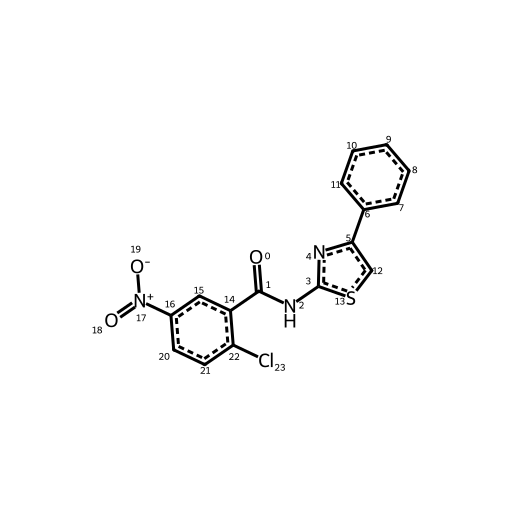 O=C(Nc1nc(-c2ccccc2)cs1)c1cc([N+](=O)[O-])ccc1Cl